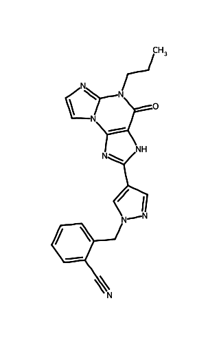 CCCn1c(=O)c2[nH]c(-c3cnn(Cc4ccccc4C#N)c3)nc2n2ccnc12